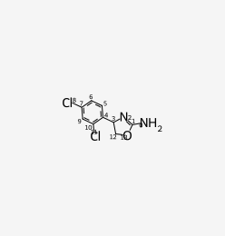 NC1=NC(c2ccc(Cl)cc2Cl)CO1